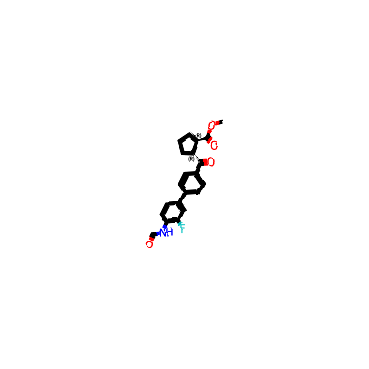 COC(=O)[C@@H]1CCC[C@H]1C(=O)c1ccc(-c2ccc(NC=O)c(F)c2)cc1